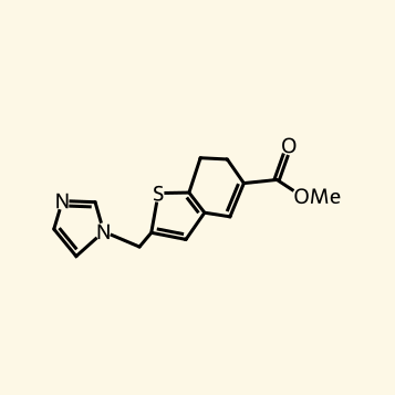 COC(=O)C1=Cc2cc(Cn3ccnc3)sc2CC1